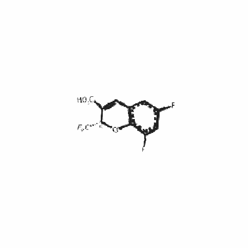 O=C(O)C1=Cc2cc(F)cc(F)c2O[C@@H]1C(F)(F)F